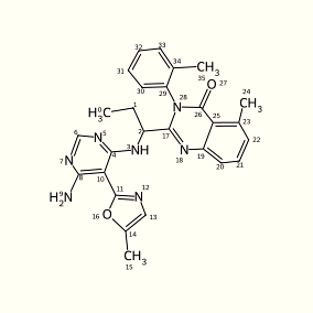 CCC(Nc1ncnc(N)c1-c1ncc(C)o1)c1nc2cccc(C)c2c(=O)n1-c1ccccc1C